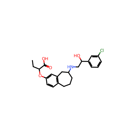 CCC(Oc1ccc2c(c1)CC(NCC(O)c1cccc(Cl)c1)CCC2)C(=O)O